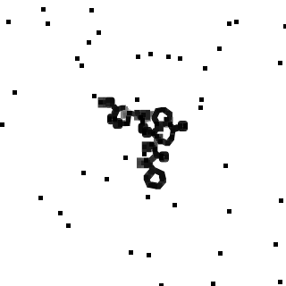 O=C[C@H](CC(=O)O)NC(=O)[C@@H]1CCCN2C(=O)CCN(NC(=O)Nc3ccccc3)C(=O)N12